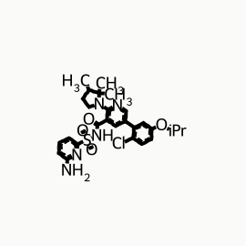 CC(C)Oc1ccc(Cl)c(-c2cnc(N3CCC(C)C3(C)C)c(C(=O)NS(=O)(=O)c3cccc(N)n3)c2)c1